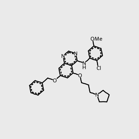 COc1ccc(Cl)c(Nc2ncnc3cc(OCc4ccccc4)cc(OCCCN4CCCC4)c23)c1